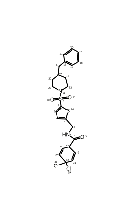 O=C(NCc1ccc(S(=O)(=O)N2CCC(Cc3ccccc3)CC2)s1)C1C=CC(Cl)(Cl)C=C1